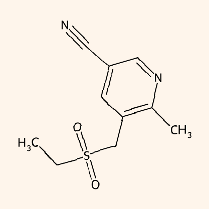 CCS(=O)(=O)Cc1cc(C#N)cnc1C